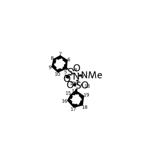 CNN(S(=O)(=O)c1ccccc1)S(=O)(=O)c1ccccc1